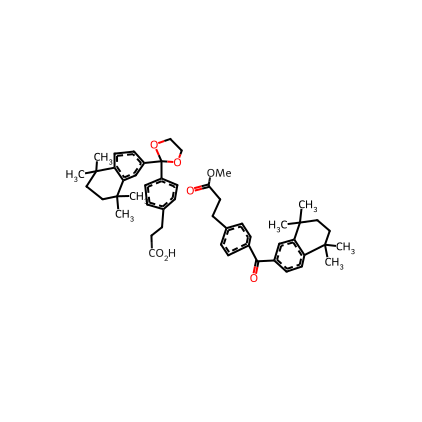 CC1(C)CCC(C)(C)c2cc(C3(c4ccc(CCC(=O)O)cc4)OCCO3)ccc21.COC(=O)CCc1ccc(C(=O)c2ccc3c(c2)C(C)(C)CCC3(C)C)cc1